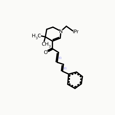 CC(C)CN1C=C(C(=O)/C=C/C=C/c2ccccc2)C(C)(C)CC1